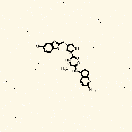 C[C@H](NC(=O)[C@H]1C[C@H](Cc2nc3cc(Cl)ccc3s2)CN1)C(=O)NC1CCc2nc(N)ccc21